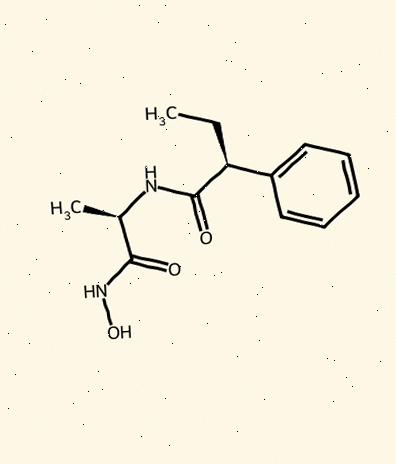 CC[C@H](C(=O)N[C@H](C)C(=O)NO)c1ccccc1